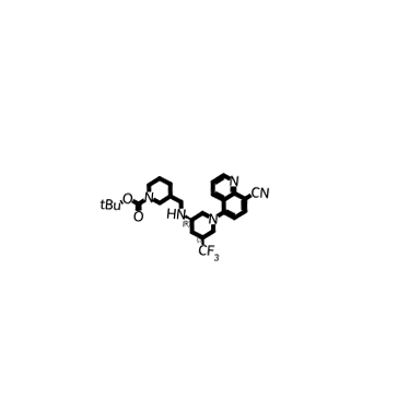 CC(C)(C)OC(=O)N1CCCC(CN[C@@H]2C[C@H](C(F)(F)F)CN(c3ccc(C#N)c4ncccc34)C2)C1